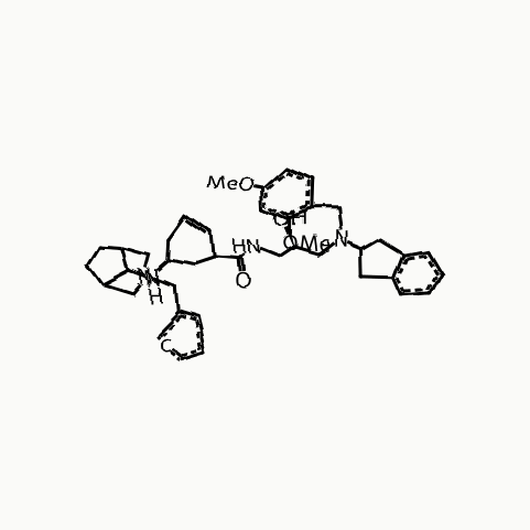 COc1ccc(CN(C[C@H](O)CNC(=O)C2C=CCC(NC3C4CCC3CN(Cc3ccccc3)C4)C2)C2Cc3ccccc3C2)c(OC)c1